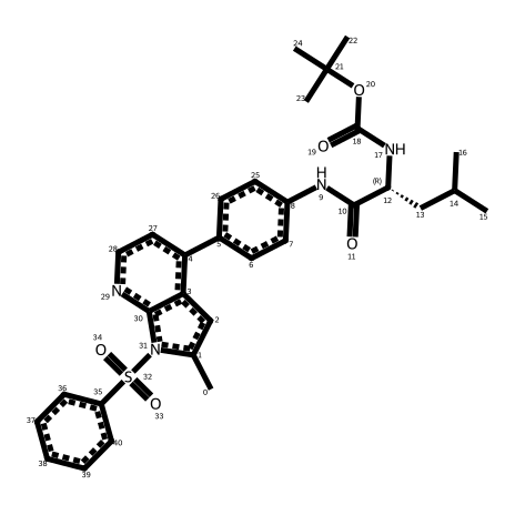 Cc1cc2c(-c3ccc(NC(=O)[C@@H](CC(C)C)NC(=O)OC(C)(C)C)cc3)ccnc2n1S(=O)(=O)c1ccccc1